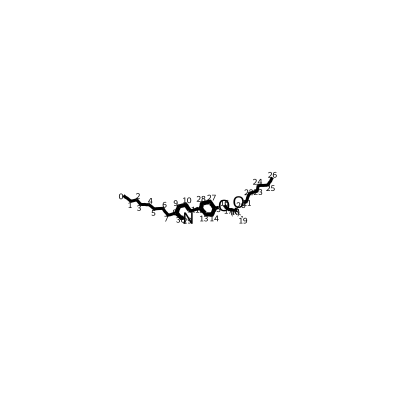 CCCCCCCCc1ccc(-c2ccc(OC[C@@H](C)OCCCCCC)cc2)nc1